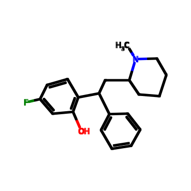 CN1CCCCC1CC(c1ccccc1)c1ccc(F)cc1O